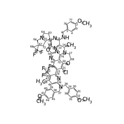 COc1ccc(CNc2nccnc2[C@@H](C)N2CCOc3c(Cl)c(-c4nc(N(Cc5ccc(OC)cc5)Cc5ccc(OC)cc5)cc(C)c4C(F)(F)F)c(F)c4nc(OC[C@@]56CCCN5C[C@@]5(CC5(F)F)C6)nc2c34)cc1